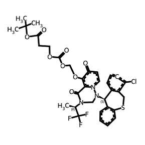 C[C@@H](N1CN([C@@H]2c3ccccc3SCc3c(Cl)cccc32)n2ccc(=O)c(OCOC(=O)OCCC(=O)OC(C)(C)C)c2C1=O)C(F)(F)F